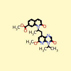 COC(=O)c1ccc2ccc(=O)n(C(C)Cc3cc(OC)nc4c3ncc(=O)n4C(C)C)c2c1